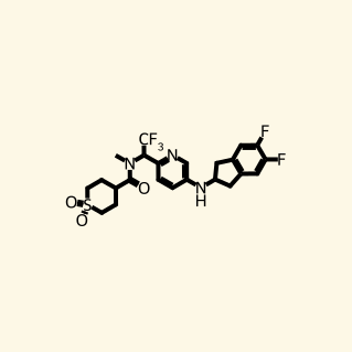 CN(C(=O)C1CCS(=O)(=O)CC1)C(c1ccc(NC2Cc3cc(F)c(F)cc3C2)cn1)C(F)(F)F